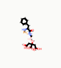 O=C(O)CC(CC(=O)O)(OBCNC(=O)C(Cc1ccccc1)NP)C(=O)O